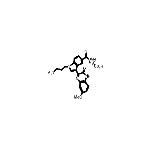 CC(=O)O.COC(=O)c1ccc2c(c1)c(-c1nc3cc(OC)ccc3[nH]c1=O)cn2CCCN